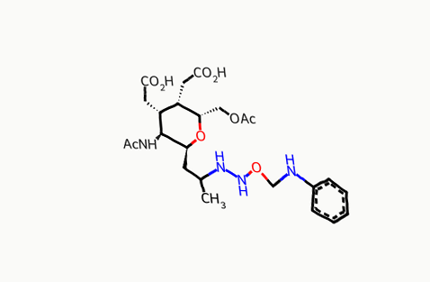 CC(=O)N[C@H]1[C@H](CC(=O)O)[C@H](CC(=O)O)[C@H](COC(C)=O)O[C@H]1CC(C)NNOCNc1ccccc1